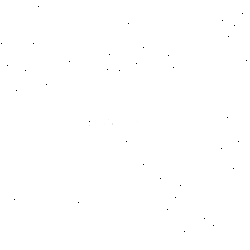 c1ccc2c3c4ccccc4c(c2c1)OO3